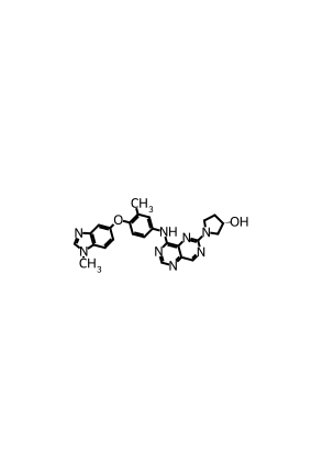 Cc1cc(Nc2ncnc3cnc(N4CC[C@H](O)C4)nc23)ccc1Oc1ccc2c(c1)ncn2C